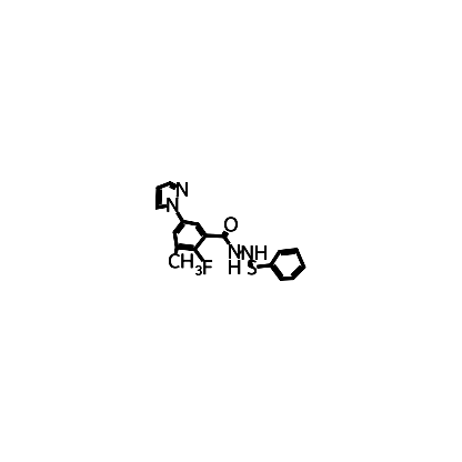 Cc1cc(-n2cccn2)cc(C(=O)NNSc2ccccc2)c1F